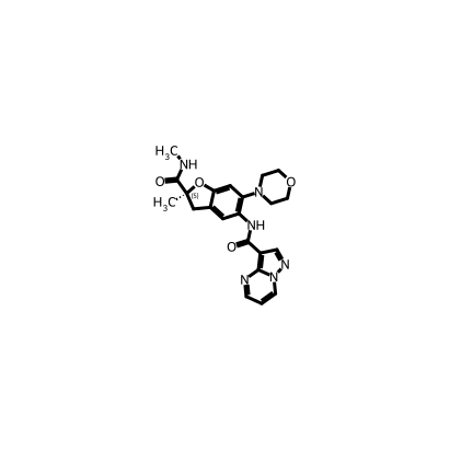 CNC(=O)[C@]1(C)Cc2cc(NC(=O)c3cnn4cccnc34)c(N3CCOCC3)cc2O1